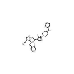 Cc1c(-c2cc(Sc3ncccc3F)c3c(C#N)cnn3c2)cnn1C1CCN([C@@H](C)c2ccccn2)CC1